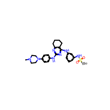 CN1CCN(c2ccc(Nc3nc4c(c(Nc5cccc(NS(=O)(=O)C(C)(C)C)c5)n3)CCCC4)cc2)CC1